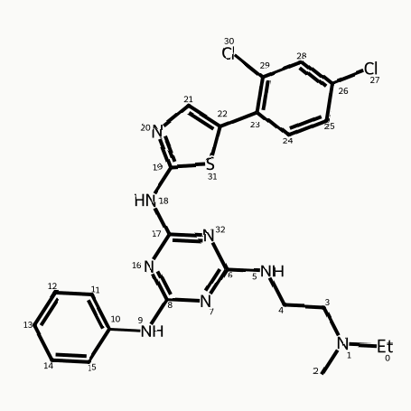 CCN(C)CCNc1nc(Nc2ccccc2)nc(Nc2ncc(-c3ccc(Cl)cc3Cl)s2)n1